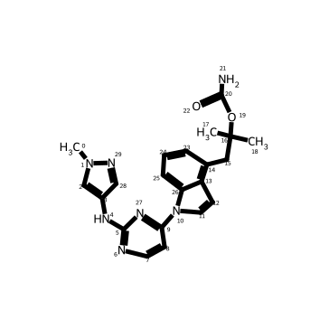 Cn1cc(Nc2nccc(-n3ccc4c(CC(C)(C)OC(N)=O)cccc43)n2)cn1